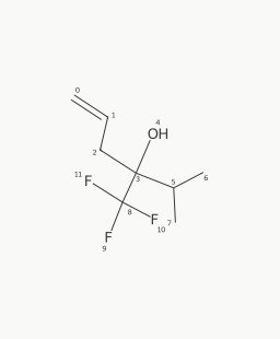 C=CCC(O)(C(C)C)C(F)(F)F